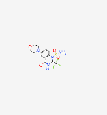 NS(=O)(=O)N1c2ccc(N3CCOCC3)cc2C(=O)NC1C(F)(F)F